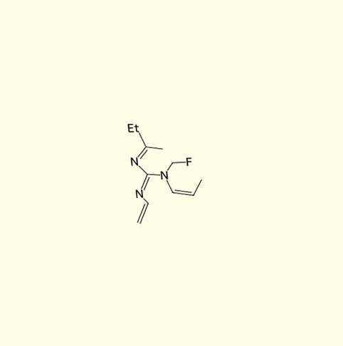 C=C/N=C(/N=C(\C)CC)N(/C=C\C)CF